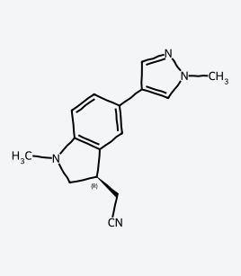 CN1C[C@H](CC#N)c2cc(-c3cnn(C)c3)ccc21